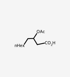 CCCCCCCC(CC(=O)O)OC(C)=O